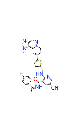 C[C@H](NC(=O)c1cc(C#N)cnc1NCC1CC=C(c2ccc3ncc4ncn(C)c4c3c2)S1)c1ccc(F)cc1